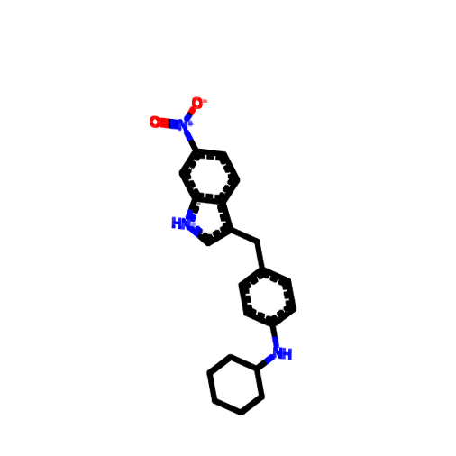 O=[N+]([O-])c1ccc2c(Cc3ccc(NC4CCCCC4)cc3)c[nH]c2c1